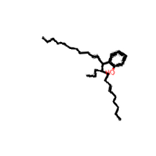 CCCCCCCCCCCC(c1ccccc1O)C(CCC)CCCCCCCCC